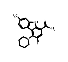 NC(=O)c1cc(F)c(N2CCCCC2)c2c1[nH]c1cc(C(F)(F)F)ccc12